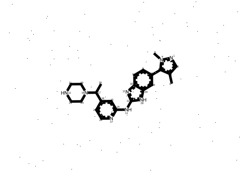 Cc1cnn(C)c1-c1ccc2nc(Nc3cc(C(C)N4CCNCC4)ccn3)[nH]c2c1